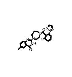 Cc1ccc2nc(N3CCCN(C(=O)c4c(F)cccc4-n4nccn4)CC3)[nH]c(=O)c2c1